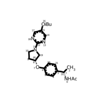 CC(=O)N[C@@H](C)c1ccc(O[C@@H]2CCN(c3ncc(OCC(C)C)cn3)C2)cc1